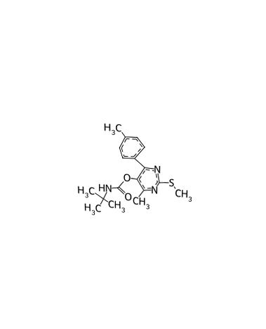 CSc1nc(C)c(OC(=O)NC(C)(C)C)c(-c2ccc(C)cc2)n1